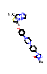 CCC(C)n1ncn(-c2ccc(N3CCN(c4ccc(OC[C@H]5CS[C@@](C)(Cn6nccn6)N5)cc4)CC3)cc2)c1=O